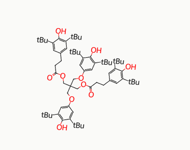 CC(C)(C)c1cc(CCC(=O)OCC(COC(=O)CCc2cc(C(C)(C)C)c(O)c(C(C)(C)C)c2)(COc2cc(C(C)(C)C)c(O)c(C(C)(C)C)c2)COc2cc(C(C)(C)C)c(O)c(C(C)(C)C)c2)cc(C(C)(C)C)c1O